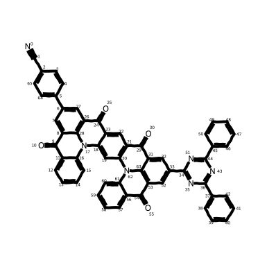 N#Cc1ccc(-c2cc3c(=O)c4ccccc4n4c5cc6c(cc5c(=O)c(c2)c34)c(=O)c2cc(-c3nc(-c4ccccc4)nc(-c4ccccc4)n3)cc3c(=O)c4ccccc4n6c32)cc1